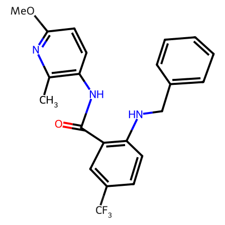 COc1ccc(NC(=O)c2cc(C(F)(F)F)ccc2NCc2ccccc2)c(C)n1